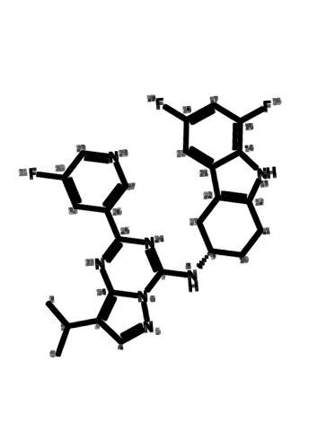 CC(C)c1cnn2c(N[C@H]3CCc4[nH]c5c(F)cc(F)cc5c4C3)nc(-c3cncc(F)c3)nc12